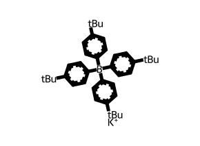 CC(C)(C)c1ccc([B-](c2ccc(C(C)(C)C)cc2)(c2ccc(C(C)(C)C)cc2)c2ccc(C(C)(C)C)cc2)cc1.[K+]